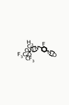 C[C@H]1CN(Cc2ccc(N3CCOCC3)cc2F)CCN1C(=O)OC(C(F)(F)F)C(F)(F)F